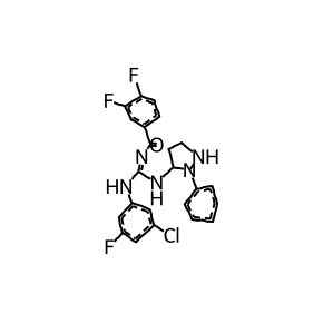 O=C(/N=C(/Nc1cc(F)cc(Cl)c1)NC1CCNN1c1ccccc1)c1ccc(F)c(F)c1